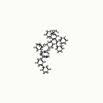 CC1C=C(C2=C(c3cc4ccccc4c4ccccc34)C=C[C@@]3(C)CC=CC=C23)C=CC1C1CN1/C(=N\C(=N)c1cccc(-c2ccccc2)c1)c1ccccc1